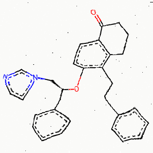 O=C1CCCc2c1ccc(O[C@H](Cn1ccnc1)c1ccccc1)c2CCc1ccccc1